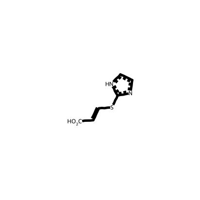 O=C(O)C=CSc1ncc[nH]1